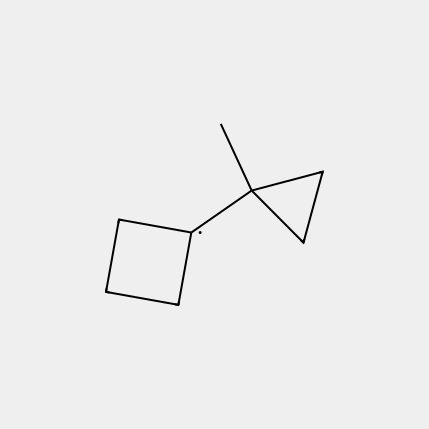 CC1([C]2CCC2)CC1